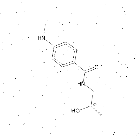 CNc1ccc(C(=O)NC[C@H](C)O)cc1